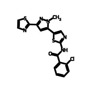 Cn1nc(-c2nccs2)cc1-c1cnc(NC(=O)c2ccccc2Cl)s1